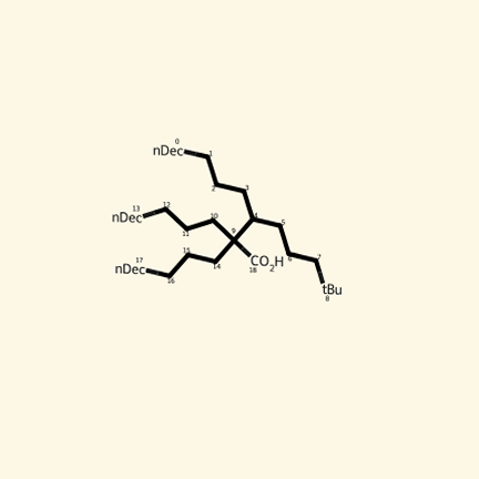 CCCCCCCCCCCCCC(CCCC(C)(C)C)C(CCCCCCCCCCCCC)(CCCCCCCCCCCCC)C(=O)O